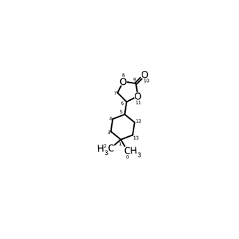 CC1(C)CCC(C2COC(=O)O2)CC1